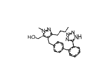 CCCCc1nn(C)c(CO)c1Cc1ccc(-c2ccccc2-c2nnn[nH]2)cc1